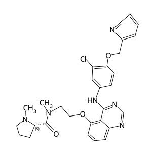 CN(CCOc1cccc2ncnc(Nc3ccc(OCc4ccccn4)c(Cl)c3)c12)C(=O)[C@@H]1CCCN1C